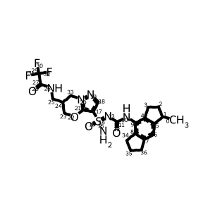 CC1CCc2c1cc1c(c2NC(=O)N=S(N)(=O)c2cnn3c2OCC(CNC(=O)C(F)(F)F)C3)CCC1